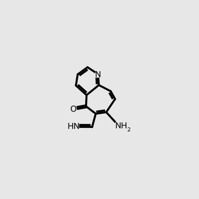 N=Cc1c(N)ccc2ncccc2c1=O